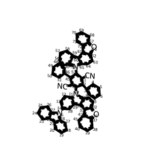 N#Cc1c(-c2ccccc2)c(-n2c3ccc(-n4c5ccccc5c5ccccc54)cc3c3c4c(ccc32)oc2ccccc24)c(C#N)c(-c2ccccc2)c1-n1c2ccccc2c2c3c(ccc21)oc1ccccc13